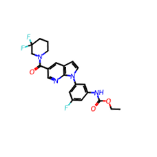 CCOC(=O)Nc1cc(F)cc(-n2ccc3cc(C(=O)N4CCCC(F)(F)C4)cnc32)c1